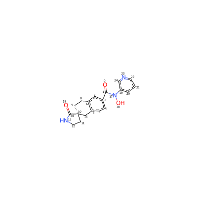 O=C(c1ccc2c(c1)CC[C@@]1(CCNC1=O)C2)N(O)c1cccnc1